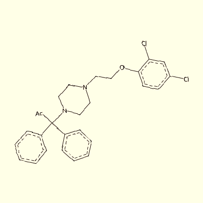 CC(=O)C(c1ccccc1)(c1ccccc1)N1CCN(CCOc2ccc(Cl)cc2Cl)CC1